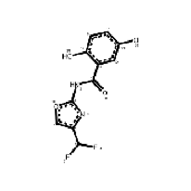 O=C(Nc1nc(C(F)F)co1)c1cc(Cl)ccc1O